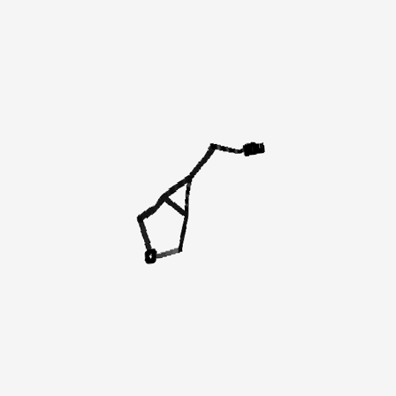 CC(C)(C)CC1C2COCC21